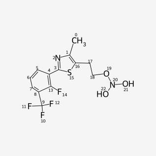 Cc1nc(-c2cccc(C(F)(F)F)c2F)sc1CCON(O)O